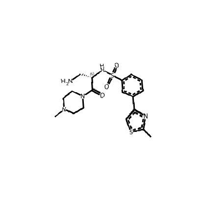 Cc1nc(-c2cccc(S(=O)(=O)N[C@@H](CN)C(=O)N3CCN(C)CC3)c2)cs1